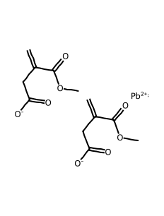 C=C(CC(=O)[O-])C(=O)OC.C=C(CC(=O)[O-])C(=O)OC.[Pb+2]